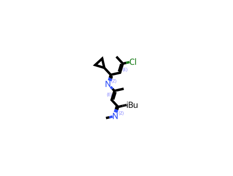 CCC(C)C(/C=C(C)/N=C(\C=C(/C)Cl)C1CC1)=N/C